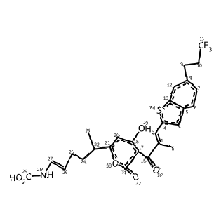 C/C(=C\c1cc2ccc(CCC(F)(F)F)cc2s1)C(=O)c1c(O)cc(C(C)CC/C=C/NC(=O)O)oc1=O